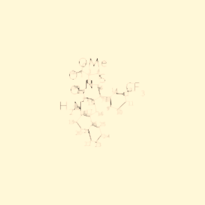 COC(=O)C1CSc2c(-c3cccc(C(F)(F)F)c3)c(Cc3cccc4ccccc34)c(N)c(=O)n21